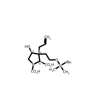 C=CC[C@]1(CCO[Si](C)(C)C(C)(C)C)[C@H](O)CN(C(=O)O)[C@@H]1C(=O)O